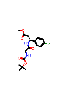 COC(=O)C[C@H](NC(=O)CNC(=O)OC(C)(C)C)c1ccc(Br)cc1